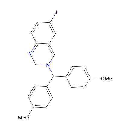 COc1ccc(C(c2ccc(OC)cc2)N2C=c3cc(I)ccc3=NC2)cc1